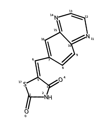 O=C1NC(=O)/C(=C\c2ccc3nccnc3c2)S1